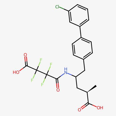 C[C@H](CC(Cc1ccc(-c2cccc(Cl)c2)cc1)NC(=O)C(F)(F)C(F)(F)C(=O)O)C(=O)O